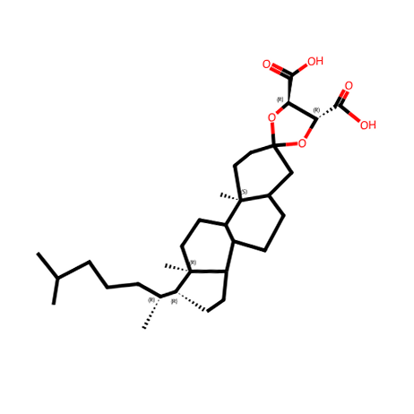 CC(C)CCC[C@@H](C)[C@H]1CCC2C3CCC4CC5(CC[C@]4(C)C3CC[C@@]21C)O[C@@H](C(=O)O)[C@H](C(=O)O)O5